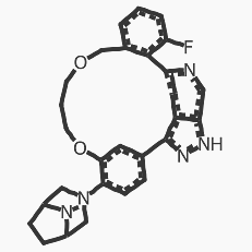 CN1C2CCC1CN(c1ccc3cc1OCCCOCc1cccc(F)c1-c1cc4c-3n[nH]c4cn1)C2